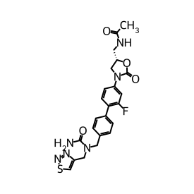 CC(=O)NC[C@H]1CN(c2ccc(-c3ccc(CN(Cc4csnn4)C(N)=O)cc3)c(F)c2)C(=O)O1